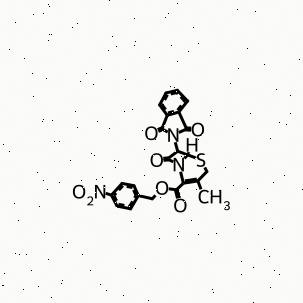 CC1=C(C(=O)OCc2ccc([N+](=O)[O-])cc2)N2C(=O)C(N3C(=O)c4ccccc4C3=O)[C@@H]2SC1